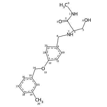 CNC(=O)C(CO)NCc1ccc(OCc2cccc(C)c2)cc1